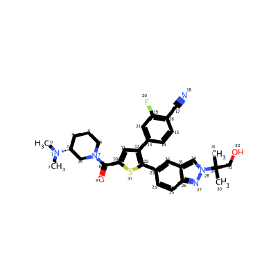 CN(C)[C@@H]1CCCN(C(=O)c2cc(-c3ccc(C#N)c(F)c3)c(-c3ccc4nn(C(C)(C)CO)cc4c3)s2)C1